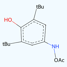 CC(=O)ONc1cc(C(C)(C)C)c(O)c(C(C)(C)C)c1